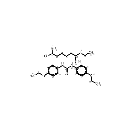 CCOc1ccc(NC(=S)Nc2ccc(OCC)cc2)cc1.CCS[CH]([SnH])CCCCC(C)N